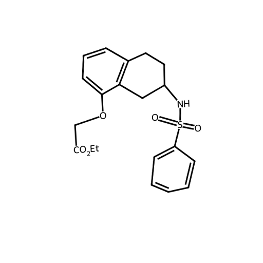 CCOC(=O)COc1cccc2c1CC(NS(=O)(=O)c1ccccc1)CC2